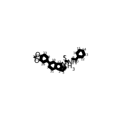 C[C@H]1C2CCN(C(=S)NCCc3ccccc3)C1c1cc(-c3ccc4c(c3)OCO4)ccc12